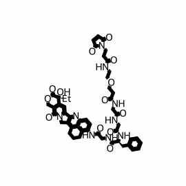 CC[C@@]1(O)C(=O)OCc2c1cc1n(c2=O)Cc2c-1nc1ccc(NC(=O)CNC(=O)[C@H](Cc3ccccc3)NC(=O)CNC(=O)CNC(=O)CCOCCNC(=O)CCN3C(=O)C=CC3=O)c3c1c2CCC3